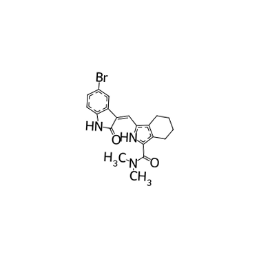 CN(C)C(=O)c1[nH]c(/C=C2\C(=O)Nc3ccc(Br)cc32)c2c1CCCC2